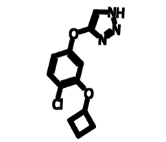 Clc1ccc(Oc2c[nH]nn2)cc1OC1CCC1